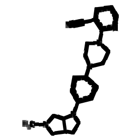 CN1CC2CCN(c3ccc(N4CCN(c5ncccc5C#N)CC4)cc3)C2C1